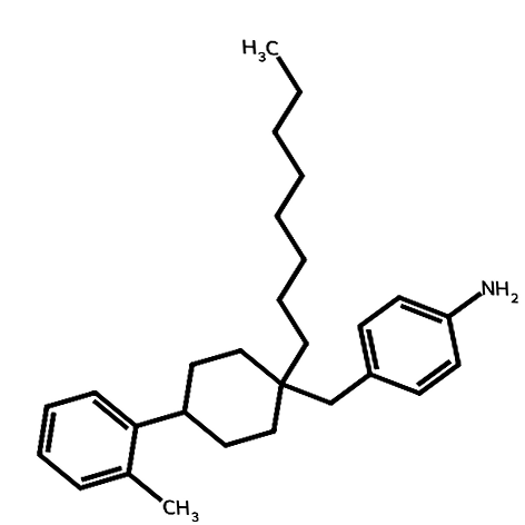 CCCCCCCCC1(Cc2ccc(N)cc2)CCC(c2ccccc2C)CC1